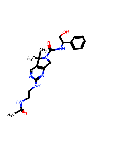 CC(=O)NCCNc1ncc2c(n1)CN(C(=O)NC(CO)c1ccccc1)C2(C)C